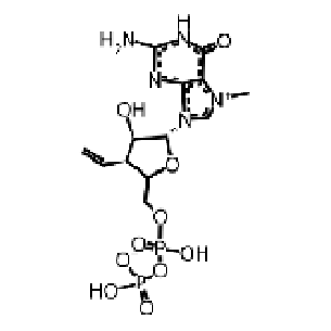 C=C[C@@H]1C(COP(=O)(O)OP(=O)([O-])O)O[C@@H](n2c[n+](C)c3c(=O)[nH]c(N)nc32)[C@@H]1O